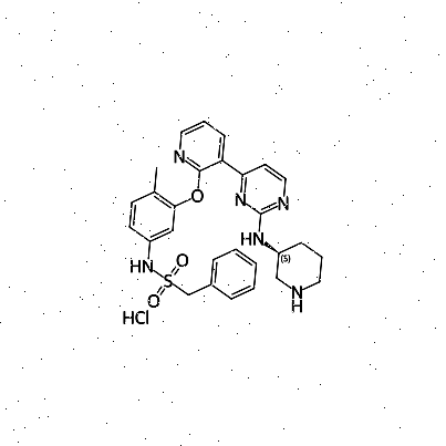 Cc1ccc(NS(=O)(=O)Cc2ccccc2)cc1Oc1ncccc1-c1ccnc(N[C@H]2CCCNC2)n1.Cl